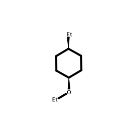 CCO[C@H]1CC[C@@H](CC)CC1